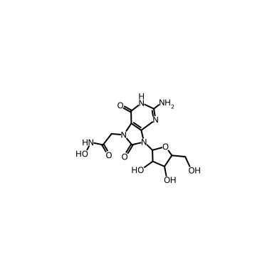 Nc1nc2c(c(=O)[nH]1)n(CC(=O)NO)c(=O)n2C1OC(CO)C(O)C1O